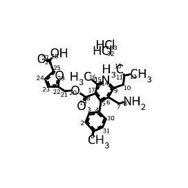 Cc1ccc(-c2c(CN)c(CC(C)C)nc(C)c2C(=O)OCc2ccc(C(=O)O)o2)cc1.Cl.Cl